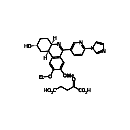 CCOc1cc2c(cc1OC)C(c1ccc(-n3ccnc3)nc1)=N[C@@H]1CC[C@@H](O)C[C@H]21.O=C(O)CCC(=O)C(=O)O